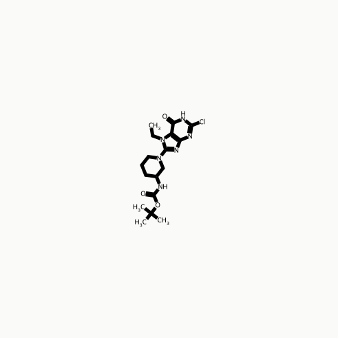 CCn1c(N2CCCC(NC(=O)OC(C)(C)C)C2)nc2nc(Cl)[nH]c(=O)c21